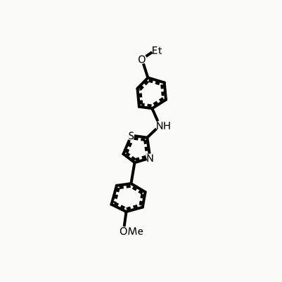 CCOc1ccc(Nc2nc(-c3ccc(OC)cc3)cs2)cc1